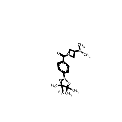 CN(C)C1CN(C(=O)c2ccc(B3OC(C)(C)C(C)(C)O3)cc2)C1